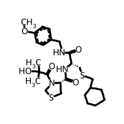 COc1ccc(CNC(=O)[C@H](CSCC2CCCCC2)NC(=O)[C@@H]2CSCN2C(=O)C(C)(C)O)cc1